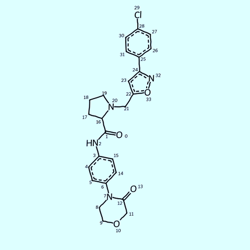 O=C(Nc1ccc(N2CCOCC2=O)cc1)C1CCCN1Cc1cc(-c2ccc(Cl)cc2)no1